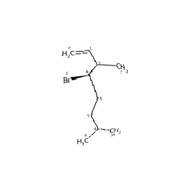 C=CC(C)[C@H](Br)CCC(C)C